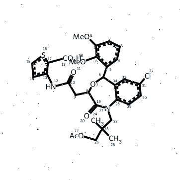 COc1cccc(C2OC(CC(=O)Nc3ccsc3C(=O)O)C(=O)N(CC(C)(C)COC(C)=O)c3ccc(Cl)cc32)c1OC